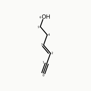 C#CC=CCCO